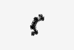 CN1CCC=C(c2nsnc2SCCCCCC(OC(=O)C(=O)OC(CCCCCSc2nsnc2C2=CCCN(C)C2)Sc2nnnn2C)Sc2nnnn2C)C1